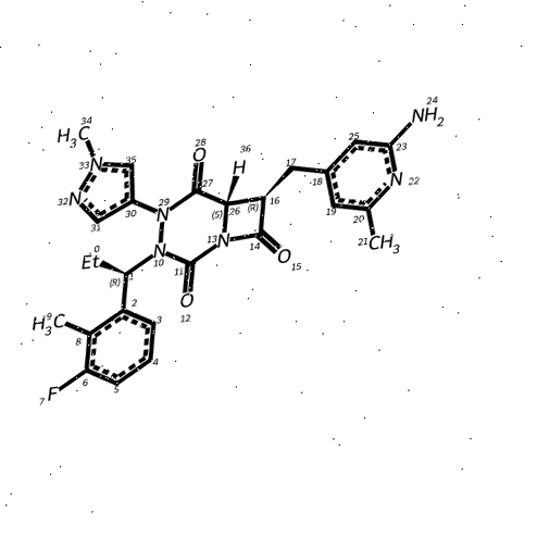 CC[C@H](c1cccc(F)c1C)N1C(=O)N2C(=O)[C@H](Cc3cc(C)nc(N)c3)[C@H]2C(=O)N1c1cnn(C)c1